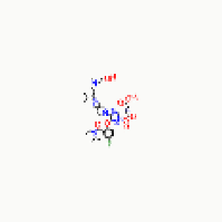 CCN(C(=O)c1cc(F)ccc1Oc1nncnc1N1CCC2(C1)CN([C@H](CCN(C)CCO)C(C)C)C2)C(C)C.O=C(O)/C=C/C(=O)O